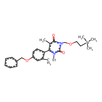 CCn1c(-c2ccc(OCc3ccccc3)cc2C)c(C)c(=O)n(COCC[Si](C)(C)C)c1=O